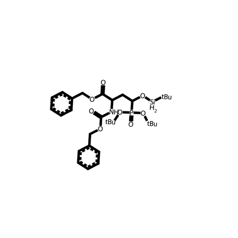 CC(C)(C)OP(=O)(OC(C)(C)C)C(CC(NC(=O)OCc1ccccc1)C(=O)OCc1ccccc1)O[SiH2]C(C)(C)C